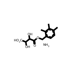 Cc1ccc(COC(=O)C(O)C(O)C(=O)O)c(C)c1C.N